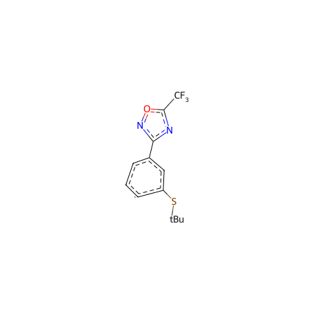 CC(C)(C)Sc1[c]ccc(-c2noc(C(F)(F)F)n2)c1